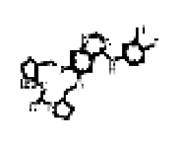 CC(C)(C)OC(=O)N1CCCC1COc1cc2c(Nc3ccc(F)c(Cl)c3)ncnc2cc1OCC1CCCC1